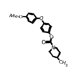 COc1ccc(Oc2ccc(OC(=O)N3CCC(C)CC3)cc2)cc1